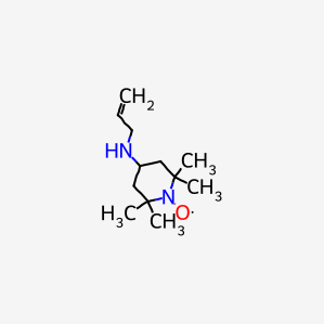 C=CCNC1CC(C)(C)N([O])C(C)(C)C1